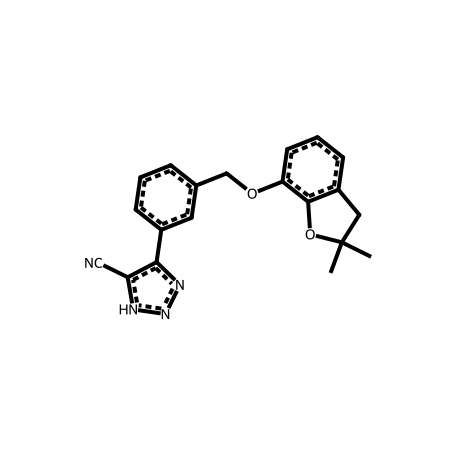 CC1(C)Cc2cccc(OCc3cccc(-c4nn[nH]c4C#N)c3)c2O1